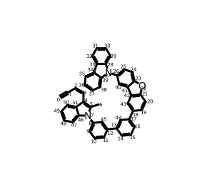 C#C/C=C\c1c(C)n(-c2cccc(-c3cccc(-c4ccc5oc6ccc(-n7c8ccccc8c8ccccc87)cc6c5c4)c3)c2)c2ccccc12